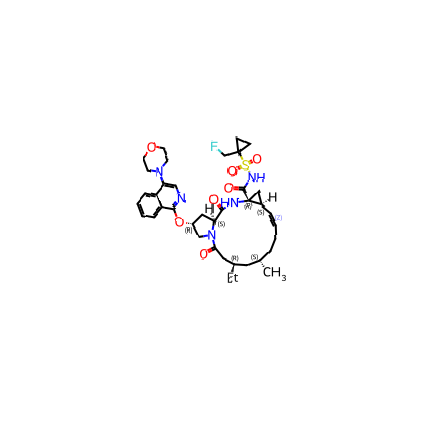 CC[C@H]1CC(=O)N2C[C@H](Oc3ncc(N4CCOCC4)c4ccccc34)C[C@H]2C(=O)N[C@]2(C(=O)NS(=O)(=O)C3(CF)CC3)C[C@H]2/C=C\CC[C@H](C)C1